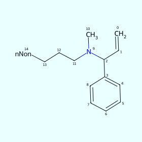 C=CC(c1ccccc1)N(C)CCCCCCCCCCCC